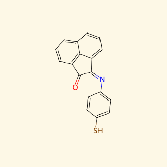 O=C1/C(=N\c2ccc(S)cc2)c2cccc3cccc1c23